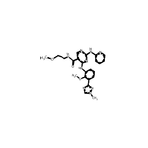 COCCNC(=O)c1cnc(Nc2ccccn2)nc1Nc1cccc(-c2ncn(C)n2)c1OC